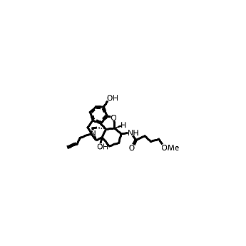 C=CCN1CC[C@]23c4c5ccc(O)c4O[C@@H]2C(NC(=O)CCCOC)CCC3(O)C1C5